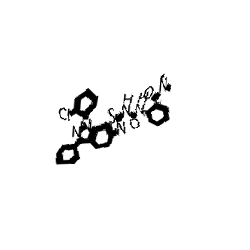 CN(C)C(=O)[C@@H]1CCCC[C@H]1NC(=O)Nc1nc2c(s1)-c1c(c(-c3ccccc3)nn1-c1ccccc1Cl)CC2